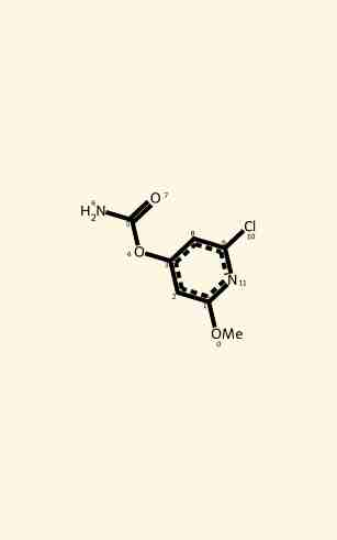 COc1cc(OC(N)=O)cc(Cl)n1